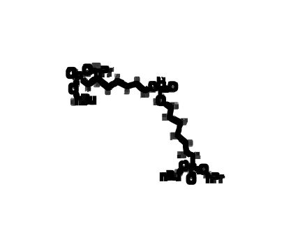 CCCCOP(=O)(CCCCCCCO[PH](=O)OCCCCCCCP(=O)(OCCC)OCCCC)OCCC